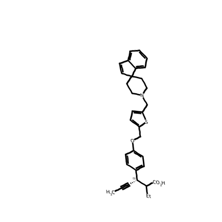 CC#C[C@H](c1ccc(OCc2ccc(CN3CCC4(C=Cc5ccccc54)CC3)s2)cc1)C(CC)C(=O)O